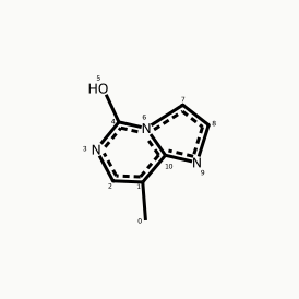 Cc1cnc(O)n2ccnc12